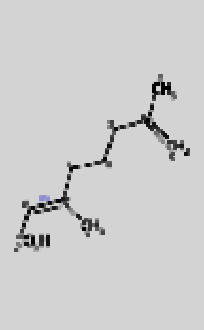 C=C(C)CCC/C(C)=C/C(=O)O